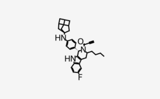 C#CC(=O)N1C(CCCC)Cc2c([nH]c3ccc(F)cc23)[C@@H]1c1ccc(NC23CC4CC5CC(C2)C54C3)cc1